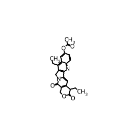 CC[C]1C(=O)OCc2c1cc1n(c2=O)Cc2c-1nc1ccc(OC(C)=O)cc1c2CC